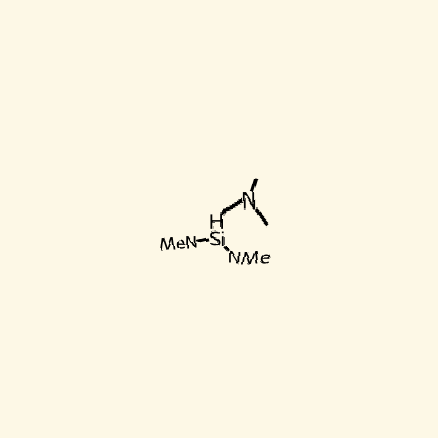 CN[SiH](CN(C)C)NC